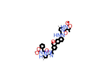 COC(=O)N[C@H](C(=O)N1C[C@@H](C)CC1c1nc2ccc3cc4c(cc3c2[nH]1)OCc1cc(-c2cnc([C@@H]3C[C@H](C)CN3C(=O)[C@H](NC(=O)OC)c3ccccc3)[nH]2)ccc1-4)C(C)C